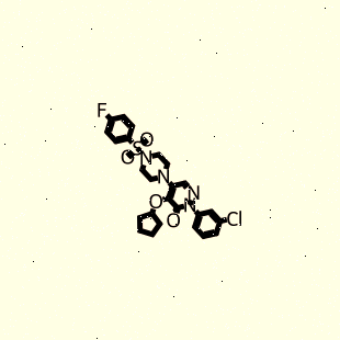 O=c1c(OC2CCCC2)c(N2CCN(S(=O)(=O)c3ccc(F)cc3)CC2)cnn1-c1cccc(Cl)c1